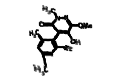 CCc1cc(C)cc(C)c1-c1c(O)c(OC)nn(C)c1=O